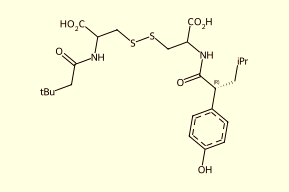 CC(C)C[C@@H](C(=O)NC(CSSCC(NC(=O)CC(C)(C)C)C(=O)O)C(=O)O)c1ccc(O)cc1